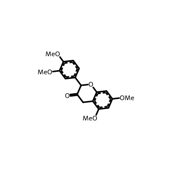 COc1cc(OC)c2c(c1)OC(c1ccc(OC)c(OC)c1)C(=O)C2